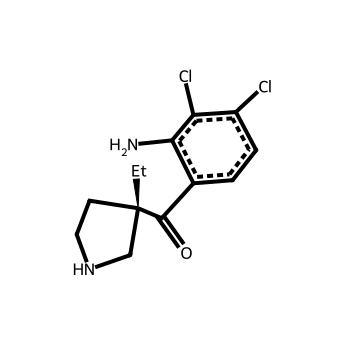 CC[C@]1(C(=O)c2ccc(Cl)c(Cl)c2N)CCNC1